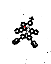 CC(C)(C)c1ccc(N2c3cc4ccccc4c4c3B(c3c2sc2cc5ccccc5cc32)n2c3ccc(C56CC7CC(CC(C7)C5)C6)cc3c3cc(C56CC7CC(CC(C7)C5)C6)cc-4c32)c(-c2ccccc2)c1